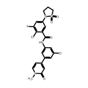 Cn1ccc(-c2cc(Cl)cc(NC(=O)c3cc(N4CCCS4(=O)=O)cc(F)c3Cl)c2)cc1=O